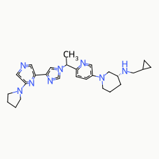 CC(c1ccc(N2CCC[C@@H](NCC3CC3)C2)cn1)n1cnc(-c2cncc(N3CCCC3)n2)c1